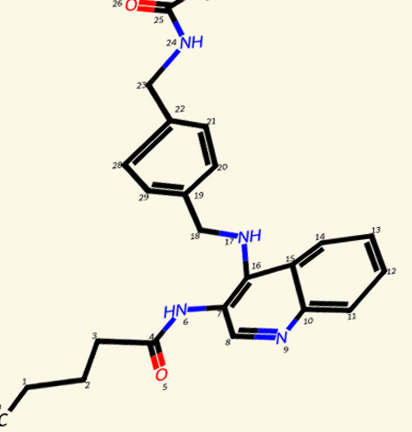 CCCCC(=O)Nc1cnc2ccccc2c1NCc1ccc(CNC(=O)O)cc1